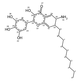 CCCCCCCCCCC1C=c2oc(-c3cc(O)c(O)c(O)c3)c(O)c(=O)c2=CC1N